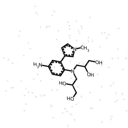 Cn1ccc(-c2cc(N)ccc2N(CC(O)CO)CC(O)CO)c1